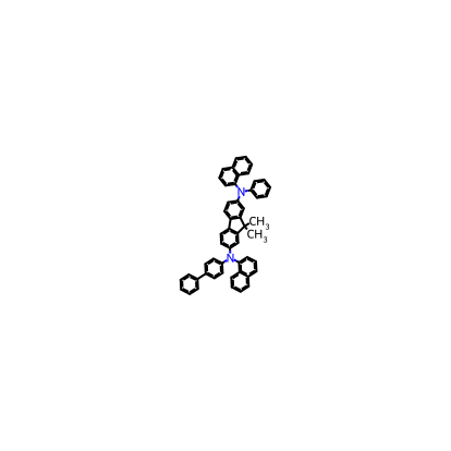 CC1(C)c2cc(N(c3ccccc3)c3cccc4ccccc34)ccc2-c2ccc(N(c3ccc(-c4ccccc4)cc3)c3cccc4ccccc34)cc21